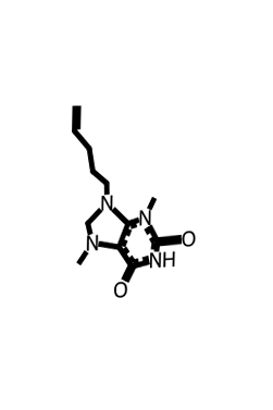 C=CCCCN1CN(C)c2c1n(C)c(=O)[nH]c2=O